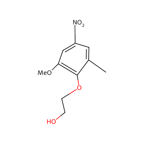 COc1cc([N+](=O)[O-])cc(C)c1OCCO